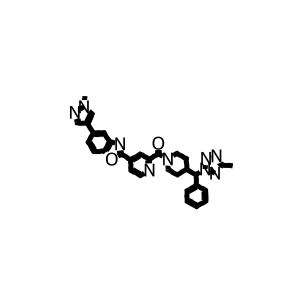 Cc1nnn(C(c2ccccc2)C2CCN(C(=O)c3cc(-c4nc5cc(-c6cnn(C)c6)ccc5o4)ccn3)CC2)n1